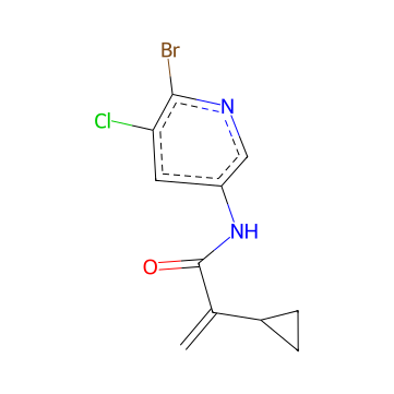 C=C(C(=O)Nc1cnc(Br)c(Cl)c1)C1CC1